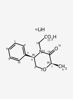 C[C@H]1OC[C@@H](c2ccccc2)N(CC(=O)O)C1=O.[LiH]